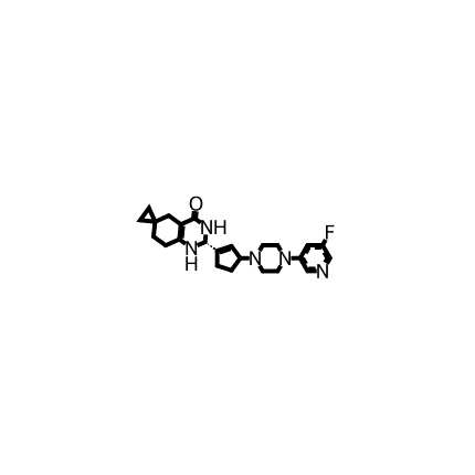 O=C1N[C@H](C2=CC(N3CCN(c4cncc(F)c4)CC3)CC2)NC2=C1CC1(CC2)CC1